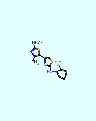 CC(=O)Nc1nc(C)c(-c2csc(Nc3ccccc3C(F)(F)F)n2)s1